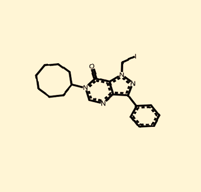 O=c1c2c(ncn1C1CCCCCCC1)c(-c1ccccc1)nn2CI